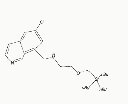 CCC[CH2][Sn]([CH2]CCC)([CH2]CCC)[CH2]OCCNCc1cc(Cl)cc2ccncc12